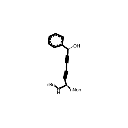 CCCCCCCCC[C@H](C#CC#C[C@@H](O)c1ccccc1)NCCCC